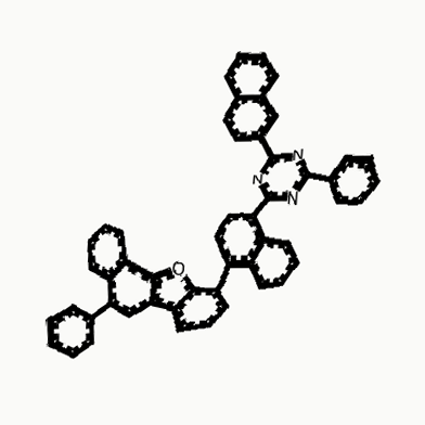 c1ccc(-c2nc(-c3ccc4ccccc4c3)nc(-c3ccc(-c4cccc5c4oc4c6ccccc6c(-c6ccccc6)cc54)c4ccccc34)n2)cc1